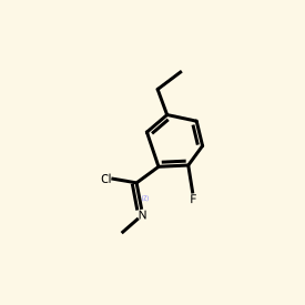 CCc1ccc(F)c(/C(Cl)=N/C)c1